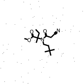 CCC(C)(C(=O)OC)N(CCC(C)(C)C)C(=O)CC#N